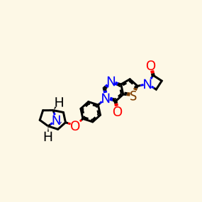 CN1[C@@H]2CC[C@H]1CC(Oc1ccc(-n3cnc4cc(N5CCC5=O)sc4c3=O)cc1)C2